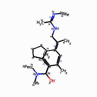 C\C=C(/C(C)=C\C(=C(/C)CN/C(C)=N\NC)C1CCCC1)C(O)N(CCC)CCCCC